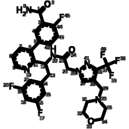 NC(=O)c1cc(-c2cccnc2C(Cc2cc(F)cc(F)c2)NC(=O)Cn2cc(CN3CCOCC3)c(C(F)(F)F)n2)ccc1F